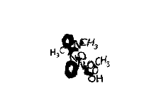 CCOC(CC(=O)O)n1c(=O)n(Cc2cn(C)c3cccc(C)c23)c2ccccc21